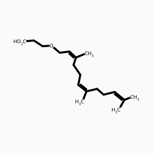 CC(C)=CCCC(C)=CCCC(C)=CCOCCC(=O)O